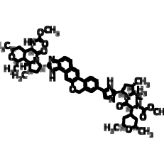 COC(=O)N[C@H](C(=O)N1[C@@H](c2ncc(-c3ccc4c(c3)COc3cc5c(ccc6nc([C@@H]7C[C@H](C)[C@@H]8C9C(C[C@@H](C)O[C@@H]9C)[C@H](NC(=O)OC)C(=O)N78)[nH]c65)cc3-4)[nH]2)C[C@@H](C)[C@H]1C)C1C[C@@H](C)O[C@H](C)C1